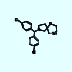 Clc1ccc(C(c2ccc(Cl)cc2)N2CCC3(CNCCO3)C2)cc1